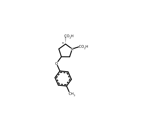 Cc1ccc(OC2C[C@H](C(=O)O)N(C(=O)O)C2)cc1